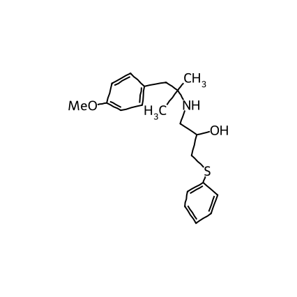 COc1ccc(CC(C)(C)NCC(O)CSc2ccccc2)cc1